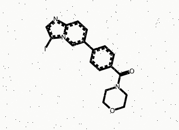 O=C(c1ccc(-c2ccc3ncc(I)n3c2)cc1)N1CCOCC1